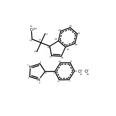 C1=NC=NC1c1ccccc1.CC(C)([CH2][Cr+2])C1C=Cc2ccccc21.[Cl-].[Cl-]